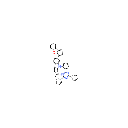 Cc1cc2c3ccc(-c4cccc5c4oc4ccccc45)cc3n3c2cc1-[n+]1c(-c2ccccc2)nc(-c2ccccc2)nc1-c1ccccc1-3